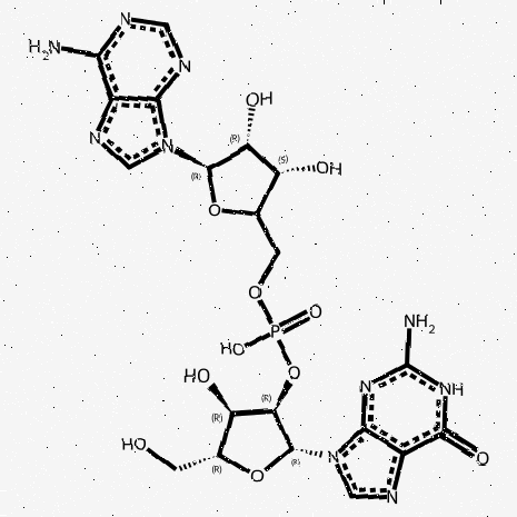 Nc1nc2c(ncn2[C@@H]2O[C@H](CO)[C@@H](O)[C@H]2OP(=O)(O)OCC2O[C@@H](n3cnc4c(N)ncnc43)[C@H](O)[C@@H]2O)c(=O)[nH]1